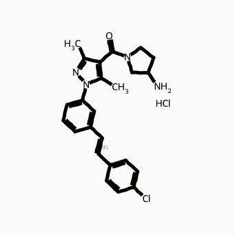 Cc1nn(-c2cccc(/C=C/c3ccc(Cl)cc3)c2)c(C)c1C(=O)N1CCC(N)C1.Cl